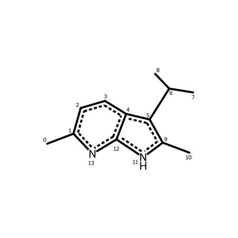 Cc1ccc2c(C(C)C)c(C)[nH]c2n1